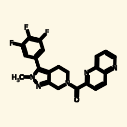 Cn1nc2c(c1-c1cc(F)c(F)c(F)c1)CCN(C(=O)c1ccc3ncccc3n1)C2